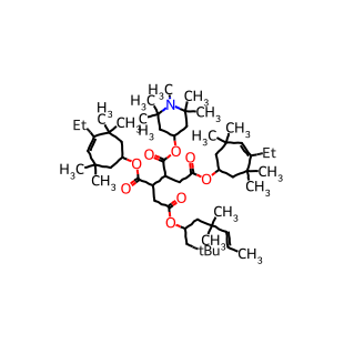 C/C=C/C(C)(C)CC(CC(C)(C)C)OC(=O)CC(C(=O)OC1CC(C)(C)C=C(CC)C(C)(C)C1)C(CC(=O)OC1CC(C)(C)C=C(CC)C(C)(C)C1)C(=O)OC1CC(C)(C)N(C)C(C)(C)C1